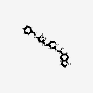 C[C@H](Nc1nccc(Nc2cc(OCc3ccccc3)[nH]n2)n1)c1ccc2[nH]ccc2c1